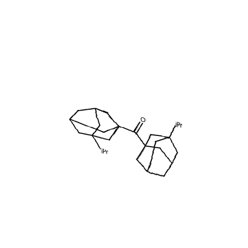 CC(C)C12CC3CC(CC(C(=O)C45CC6CC(C4)CC(C(C)C)(C6)C5)(C3)C1)C2